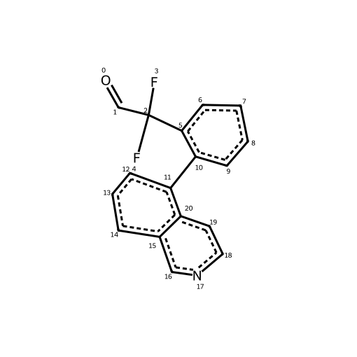 O=CC(F)(F)c1ccccc1-c1cccc2cnccc12